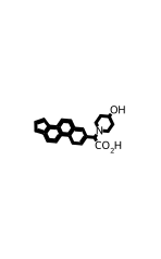 O=C(O)C(C1=CCc2c(ccc3c4c(ccc23)=CC=C4)=C1)N1CCC(O)CC1